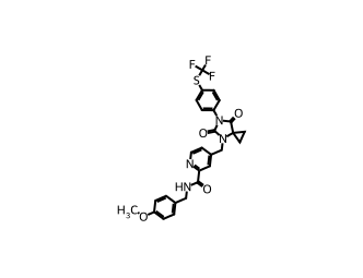 COc1ccc(CNC(=O)c2cc(CN3C(=O)N(c4ccc(SC(F)(F)F)cc4)C(=O)C34CC4)ccn2)cc1